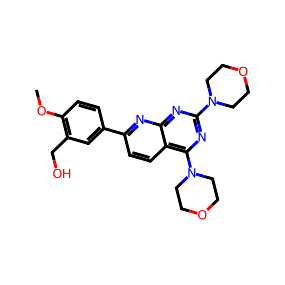 COc1ccc(-c2ccc3c(N4CCOCC4)nc(N4CCOCC4)nc3n2)cc1CO